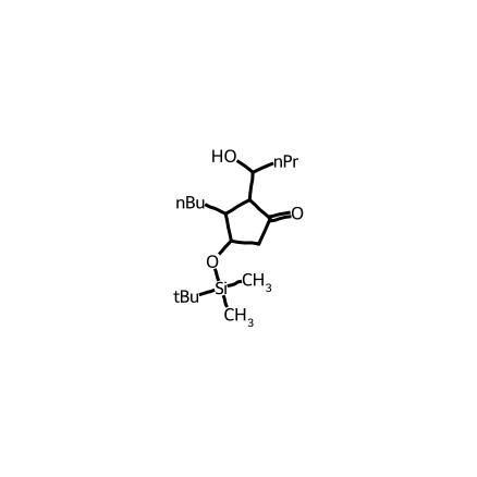 CCCCC1C(O[Si](C)(C)C(C)(C)C)CC(=O)C1C(O)CCC